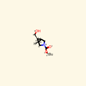 CC(C)(C)OC(=O)N1CC2[C@H](CO)[C@H]2C1